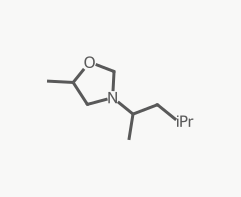 CC(C)CC(C)N1COC(C)C1